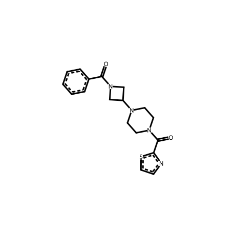 O=C(c1ccccc1)N1CC(N2CCN(C(=O)c3nccs3)CC2)C1